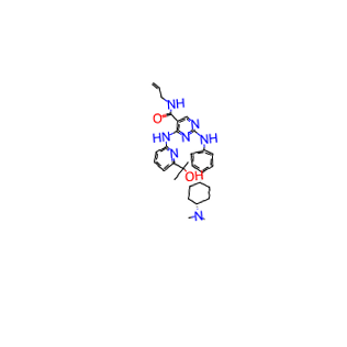 C=CCNC(=O)c1cnc(Nc2ccc([C@H]3CC[C@@H](N(C)C)CC3)cc2)nc1Nc1cccc(C(C)(C)O)n1